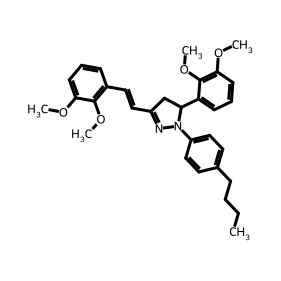 CCCCc1ccc(N2N=C(C=Cc3cccc(OC)c3OC)CC2c2cccc(OC)c2OC)cc1